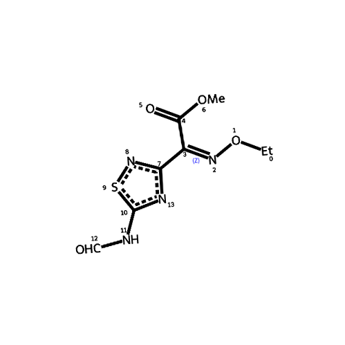 CCO/N=C(\C(=O)OC)c1nsc(NC=O)n1